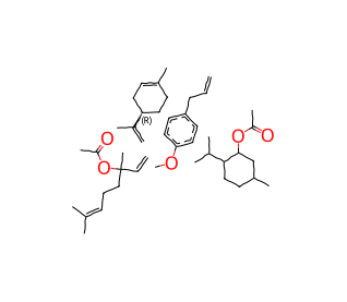 C=C(C)[C@H]1CC=C(C)CC1.C=CC(C)(CCC=C(C)C)OC(C)=O.C=CCc1ccc(OC)cc1.CC(=O)OC1CC(C)CCC1C(C)C